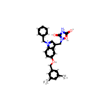 O=c1[nH]c(=O)n(Cc2cn(Cc3ccccc3)c3ccc(OCc4cc(C(F)(F)F)cc(C(F)(F)F)c4)cc23)o1